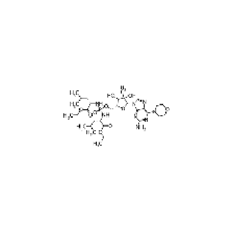 CCOC(=O)[C@H](CC(C)C)NP(=O)(N[C@@H](CC(C)C)C(=O)OCC)OC[C@H]1O[C@@H](n2cnc3c(N4CCOCC4)nc(N)nc32)[C@@](C)(O)C1O